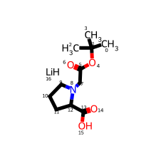 CC(C)(C)OC(=O)CN1CCCC1C(=O)O.[LiH]